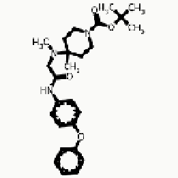 CN(CC(=O)Nc1ccc(Oc2ccccc2)cc1)C1(C)CCN(C(=O)OC(C)(C)C)CC1